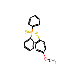 COc1ccc(SP(=S)(c2ccccc2)c2ccccc2)cc1